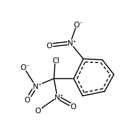 O=[N+]([O-])c1ccccc1C(Cl)([N+](=O)[O-])[N+](=O)[O-]